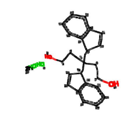 Cl.Cl.OCCC(CCO)(C1C=Cc2ccccc21)C1C=Cc2ccccc21.[Zr]